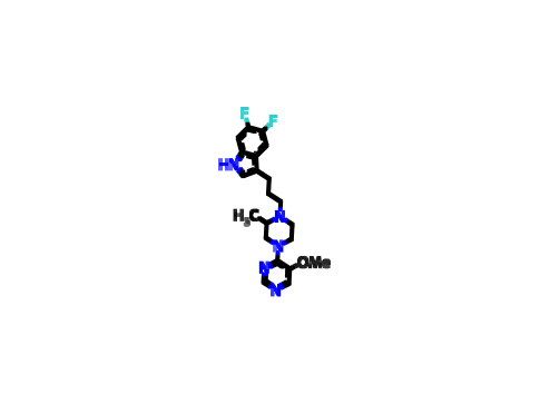 COc1cncnc1N1CCN(CCCc2c[nH]c3cc(F)c(F)cc23)C(C)C1